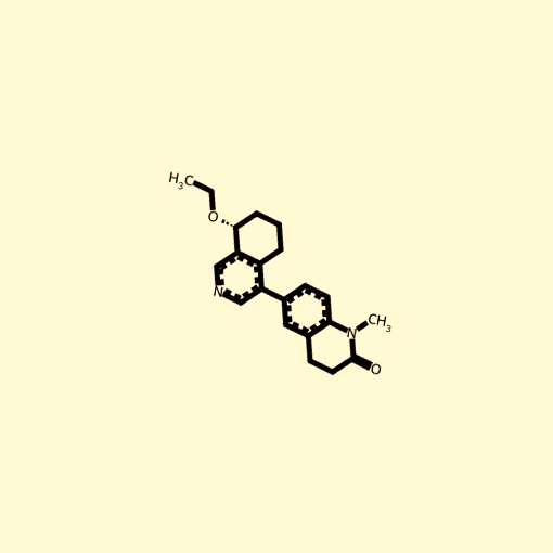 CCO[C@@H]1CCCc2c(-c3ccc4c(c3)CCC(=O)N4C)cncc21